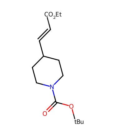 CCOC(=O)C=CC1CCN(C(=O)OC(C)(C)C)CC1